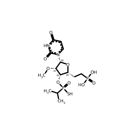 CO[C@H]1[C@@H](OP(=O)(S)C(C)C)[C@@H](CCP(=O)(O)O)O[C@H]1n1ccc(=O)[nH]c1=O